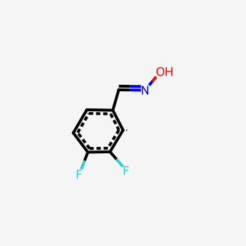 ON=Cc1[c]c(F)c(F)cc1